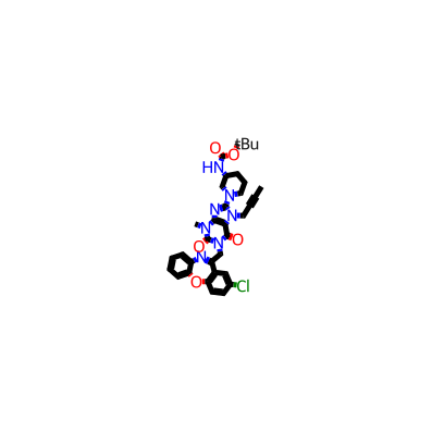 CC#CCn1c(N2CCCC(NC(=O)OC(C)(C)C)C2)nc2c1c(=O)n(CC1=Nc3ccccc3Oc3ccc(Cl)cc31)c(=O)n2C